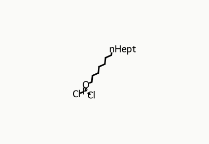 CCCCCCCCCCCCCCOP(Cl)Cl